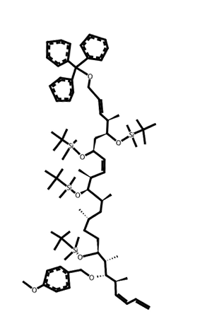 C=C/C=C\[C@H](C)[C@H](OCc1ccc(OC)cc1)[C@@H](C)[C@H](CC[C@H](C)C[C@H](C)[C@@H](O[Si](C)(C)C(C)(C)C)[C@@H](C)/C=C\[C@H](C[C@H](O[Si](C)(C)C(C)(C)C)[C@H](C)/C=C/COC(c1ccccc1)(c1ccccc1)c1ccccc1)O[Si](C)(C)C(C)(C)C)O[Si](C)(C)C(C)(C)C